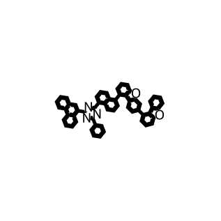 c1ccc(-c2nc(-c3cccc4c(-c5cccc6oc7cc(-c8cccc9oc%10ccccc%10c89)ccc7c56)cccc34)nc(-c3cc4ccccc4c4ccccc34)n2)cc1